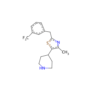 Cc1nc(Cc2cccc(C(F)(F)F)c2)sc1C1CCNCC1